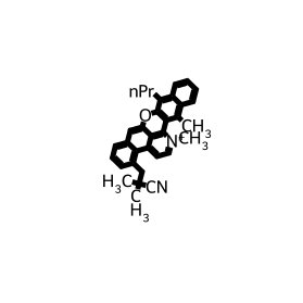 CCCc1c2c(c(C)c3ccccc13)-c1c3c(cc4cccc(CC(C)(C)C#N)c4c3cc[n+]1C)O2